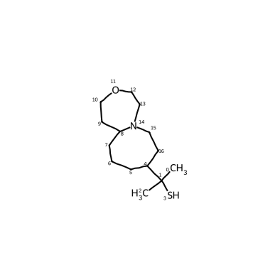 CC(C)(S)C1CCCC2CCOCCN2CC1